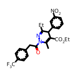 CCOC(=O)C1=C(C)N(C(=O)Cc2ccc(C(F)(F)F)cc2)N=C(CC)C1c1cccc([N+](=O)[O-])c1